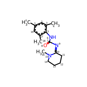 Cc1cc(C)c(NC(=O)/N=C2/CCCCN2C)c(C)c1